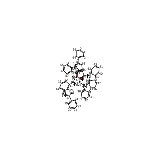 c1ccc(-c2ccc(-c3nc(-c4cccc5nc(-c6ccccc6)oc45)nc(-n4c5ccccc5c5ccc6c7ccccc7n(-c7ccc8c(c7)sc7ccccc78)c6c54)n3)cc2)cc1